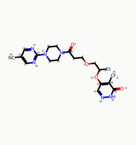 CCC(COCCC(=O)N1CCN(c2ncc(C#N)cn2)CC1)Oc1cn[nH]c(=O)c1C(F)(F)F